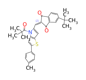 Cc1ccc(-c2cc3c(cc(/C=C4/C(=O)c5ccc(C(C)(C)C)cc5C4=O)n3C(=O)C(C)(C)C)s2)cc1